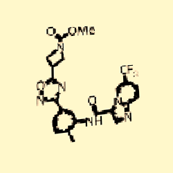 COC(=O)N1CC(c2nc(-c3ccc(C)c(NC(=O)c4cnc5ccc(C(F)(F)F)cn45)c3)no2)C1